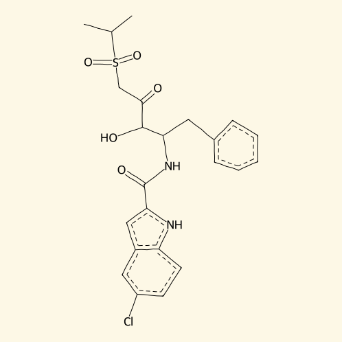 CC(C)S(=O)(=O)CC(=O)C(O)C(Cc1ccccc1)NC(=O)c1cc2cc(Cl)ccc2[nH]1